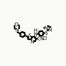 Cn1ccnc1Sc1ccc(Nc2c(C#N)cnc3cc(-c4ccc(CN5CCOCC5)cc4)sc23)cc1Cl